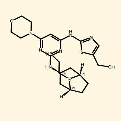 N#CCCN1[C@@H]2CC[C@H]1C[C@H](Nc1nc(Nc3ncc(CO)s3)cc(N3CCOCC3)n1)C2